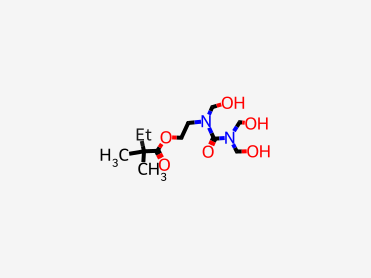 CCC(C)(C)C(=O)OCCN(CO)C(=O)N(CO)CO